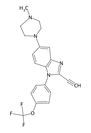 C#Cc1nc2cc(N3CCN(C)CC3)ccc2n1-c1ccc(OC(F)(F)F)cc1